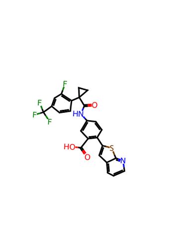 O=C(O)c1cc(NC(=O)C2(c3ccc(C(F)(F)F)cc3F)CC2)ccc1-c1cc2cccnc2s1